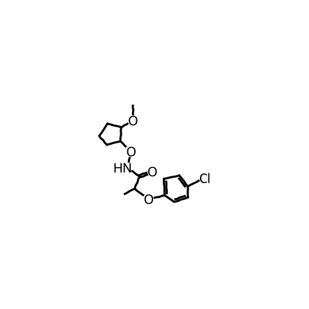 COC1CCCC1ONC(=O)C(C)Oc1ccc(Cl)cc1